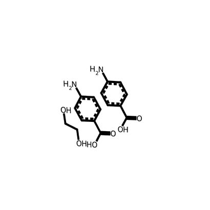 Nc1ccc(C(=O)O)cc1.Nc1ccc(C(=O)O)cc1.OCCO